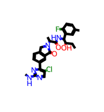 CCC(O)C(NC(=O)C(C)N1Cc2ccc(-c3nc(NC)ncc3Cl)cc2C1=O)c1cc(C)ccc1F